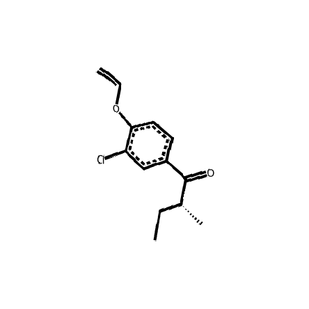 C=COc1ccc(C(=O)[C@H](C)CC)cc1Cl